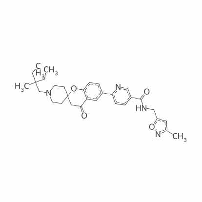 CCC(C)(CC)CN1CCC2(CC1)CC(=O)c1cc(-c3ccc(C(=O)NCc4cc(C)no4)cn3)ccc1O2